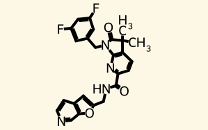 CC1(C)C(=O)N(Cc2cc(F)cc(F)c2)c2nc(C(=O)NCc3cc4ccncc4o3)ccc21